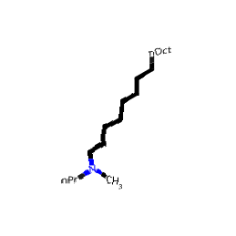 CCCCCCCCCCCCCCCCN(C)CCC